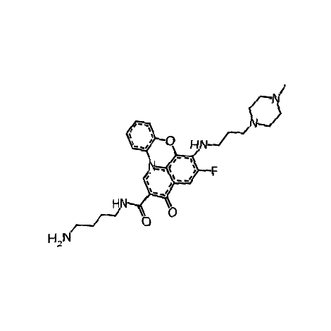 CN1CCN(CCCNc2c(F)cc3c(=O)c(C(=O)NCCCCN)cn4c3c2Oc2ccccc2-4)CC1